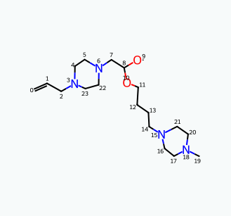 C=CCN1CCN(CC([O])OCCCCN2CCN(C)CC2)CC1